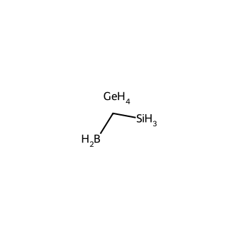 BC[SiH3].[GeH4]